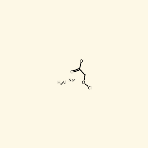 O=C([O-])COCl.[AlH3].[Na+]